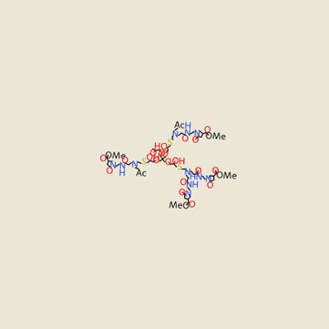 COC(=O)C1CC(=O)N(CCNC(=O)CCN(CCSCC(O)COCC(COCC(O)CSCCN(CCC(C)=O)CCC(=O)NCCN2CC(C(=O)OC)CC2=O)(COCC(O)CSCCN(CCC(=O)NCCN2CC(C(=O)OC)CC2=O)CCC(=O)NCCN2CC(C(=O)OC)CC2=O)COCC2CO2)CCC(C)=O)C1